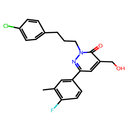 Cc1cc(-c2cc(CO)c(=O)n(CCCc3ccc(Cl)cc3)n2)ccc1F